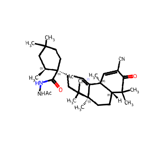 CC(=O)/C=C1/[C@@]2(C)C=C(C#N)C(=O)C(C)(C)[C@@H]2CC[C@@]1(C)C(C)(C)CC[C@@]1(C(=O)NNC(C)=O)CCC(C)(C)C[C@@H]1C